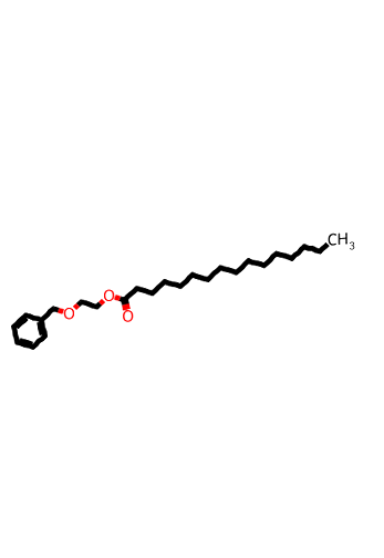 CCCCCCCCCCCCCCCC(=O)OCCOCc1ccccc1